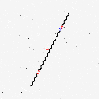 CCCCCCCO/C=C/CCCCCCCCC(O)CCCCCCCC/C=N/OCCCCCCC